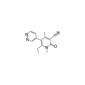 CCc1c(-c2ccnnc2)c(C)c(C#N)c(=O)n1C